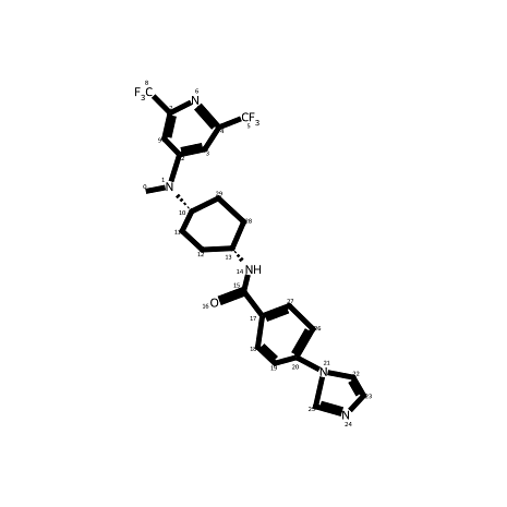 CN(c1cc(C(F)(F)F)nc(C(F)(F)F)c1)[C@H]1CC[C@@H](NC(=O)c2ccc(-n3ccnc3)cc2)CC1